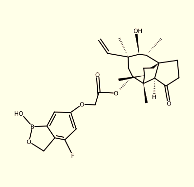 C=C[C@]1(C)C[C@@H](OC(=O)COc2cc(F)c3c(c2)B(O)OC3)[C@]2(C)[C@H](C)CC[C@]3(CCC(=O)[C@H]32)[C@@H](C)[C@@H]1O